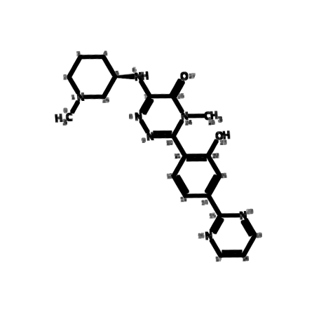 CN1CCC[C@@H](Nc2nnc(-c3ccc(-c4ncccn4)cc3O)n(C)c2=O)C1